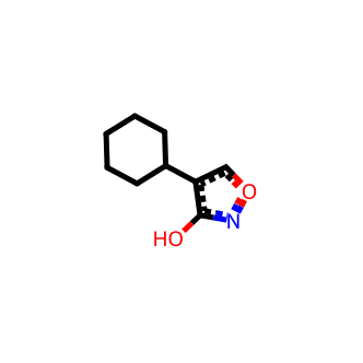 Oc1nocc1C1CCCCC1